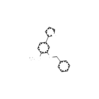 COc1ccc(-c2ccco2)cc1OCc1ccccc1